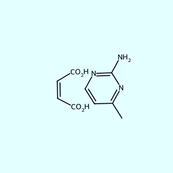 Cc1ccnc(N)n1.O=C(O)/C=C\C(=O)O